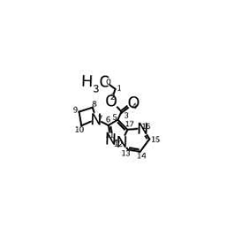 CCOC(=O)c1c(N2CCC2)nn2cccnc12